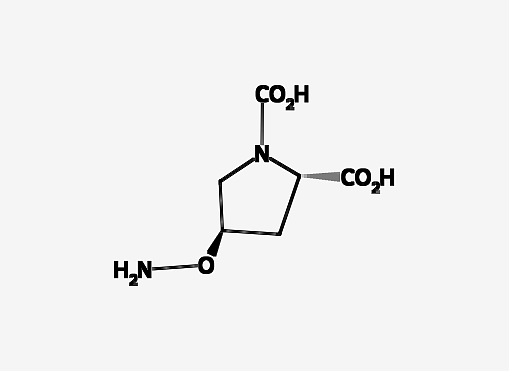 NO[C@@H]1C[C@@H](C(=O)O)N(C(=O)O)C1